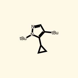 CC(C)(C)c1cnn(C(C)(C)C)c1C1CC1